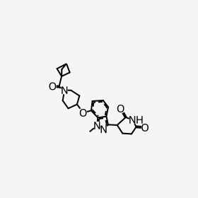 Cn1nc(C2CCC(=O)NC2=O)c2cccc(OC3CCN(C(=O)C45CC(C4)C5)CC3)c21